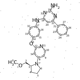 COC[C@@H]1CCCN1c1ccnc(Oc2ccc(Nc3cc(-c4ccccc4)nc(N)n3)cc2)c1